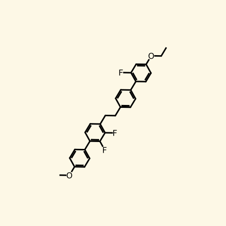 CCOc1ccc(-c2ccc(CCc3ccc(-c4ccc(OC)cc4)c(F)c3F)cc2)c(F)c1